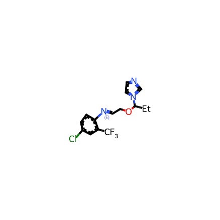 CCC(OC/C=N/c1ccc(Cl)cc1C(F)(F)F)n1ccnc1